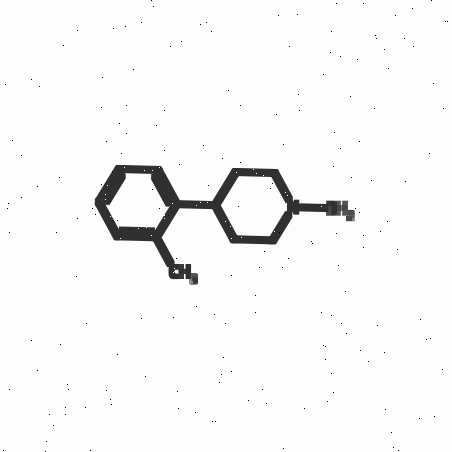 BN1CCC(c2ccccc2C)CC1